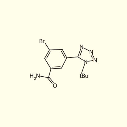 CC(C)(C)n1nnnc1-c1cc(Br)cc(C(N)=O)c1